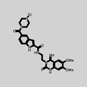 CCN1CCN(C(=O)c2ccc3[nH]c(C(=O)NCCn4c(=S)[nH]c5cc(OC)c(OC)cc5c4=N)cc3c2)CC1